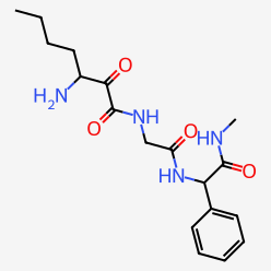 CCCCC(N)C(=O)C(=O)NCC(=O)NC(C(=O)NC)c1ccccc1